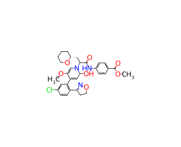 COC(=O)c1ccc(NC(=O)C(C[C@H]2CCCCO2)N2C=C(OC)C(c3cc(Cl)ccc3C3=NOCC3)=CC2O)cc1